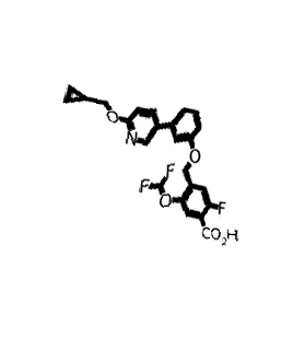 O=C(O)c1cc(OC(F)F)c(COc2cccc(-c3ccc(OCC4CC4)nc3)c2)cc1F